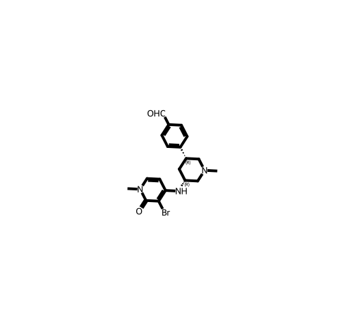 CN1C[C@H](Nc2ccn(C)c(=O)c2Br)C[C@H](c2ccc(C=O)cc2)C1